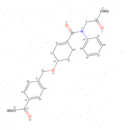 COC(=O)CN(C(=O)C1=CCC(OCc2ccc(C(=O)OC)cc2)CC1)c1ccccc1